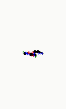 CC(C)NCCCc1ccc(-c2cccc(N3C(=O)C(C4CCC(NC(=O)c5cn6cc(F)ccc6n5)CC4)C(=O)c4nc(F)ccc43)c2)cc1